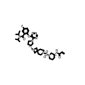 C=CC(=O)N[C@@H]1CCCN(S(=O)(=O)N2CCC3(CC2)CN(C[C@@H]2CCN(c4ncnnc4Oc4ccc(F)cc4C(=O)N(C(C)C)C(C)C)C2)C3)C1